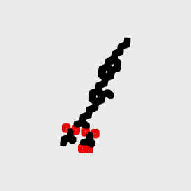 C=C(CC)C(=O)OCC(CCCCc1ccc(CCC2=CC3C=CC(CCCCC)=CC3C=C2)c(CC)c1)COC(=O)C(=C)CO